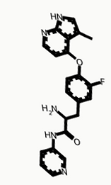 Cc1c[nH]c2nccc(Oc3ccc(CC(N)C(=O)Nc4cccnc4)cc3F)c12